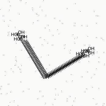 OB(O)O.OB(O)O.OB(O)O.OB(O)O.[LiH].[LiH].[LiH].[LiH].[LiH].[LiH].[LiH].[LiH].[LiH].[LiH].[LiH].[LiH].[LiH].[LiH].[LiH].[LiH].[LiH].[LiH].[LiH].[LiH].[LiH].[LiH].[LiH].[LiH].[LiH].[LiH].[LiH].[LiH].[LiH].[LiH].[LiH].[LiH].[LiH].[LiH].[LiH].[LiH].[LiH].[LiH].[LiH].[LiH].[LiH].[LiH].[LiH].[LiH].[LiH].[LiH].[LiH].[LiH].[LiH].[LiH].[LiH].[LiH]